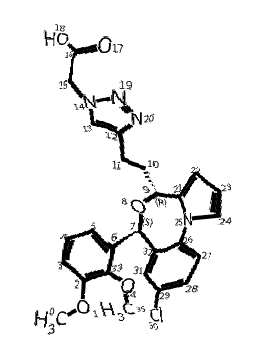 COc1cccc([C@H]2O[C@H](CCc3cn(CC(=O)O)nn3)c3cccn3-c3ccc(Cl)cc32)c1OC